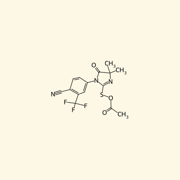 CC(=O)OSC1=NC(C)(C)C(=O)N1c1ccc(C#N)c(C(F)(F)F)c1